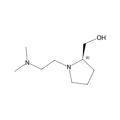 CN(C)CCN1CCC[C@@H]1CO